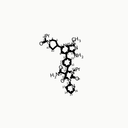 CC(C)C(=O)N1CCC(c2cc(-c3ccc(-c4c(C(N)=O)c(=O)n(-c5ccccn5)c(=O)n4C(C)C)cc3)c3c(N)nn(C)c3n2)CC1